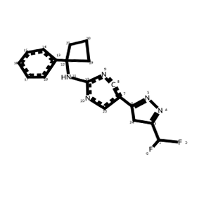 FC(F)C1=NN=C(c2cnc(NC3(c4ccccc4)CCC3)nc2)C1